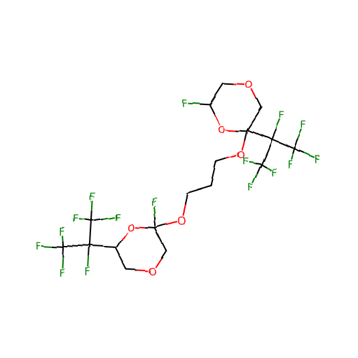 FC1COCC(OCCCOC2(F)COCC(C(F)(C(F)(F)F)C(F)(F)F)O2)(C(F)(C(F)(F)F)C(F)(F)F)O1